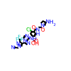 N#CCn1cc(-c2cnc3c(Nc4ccc(C(=O)NCC(=O)N5CC[C@@H](N)C5)c(Cl)c4)nccn23)c(C(F)(F)F)n1.O=CO